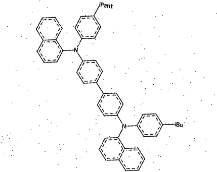 CCCC(C)c1ccc(N(c2ccc(-c3ccc(N(c4ccc(C(C)CC)cc4)c4cccc5ccccc45)cc3)cc2)c2cccc3ccccc23)cc1